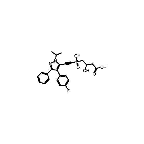 CC(C)n1nc(-c2ccccc2)c(-c2ccc(F)cc2)c1C#CP(=O)(O)CC(O)CC(=O)O